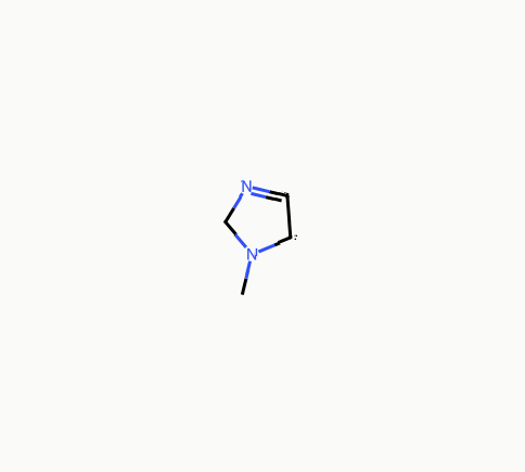 CN1[C]C=NC1